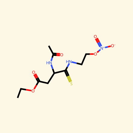 CCOC(=O)CC(NC(C)=O)C(=S)NCCO[N+](=O)[O-]